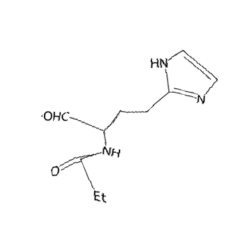 CCC(=O)NC([C]=O)CCc1ncc[nH]1